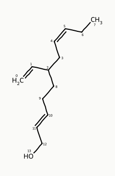 C=CC(C/C=C\CC)CC/C=C/CO